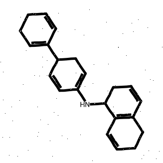 C1=CC(C2C=CC(NC3CC=CC4=C3C=CCC4)=CC2)=CCC1